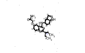 C=C/C(=C\C)c1nc(Nc2ccc3[nH]ncc3c2)c2cc(OCC(N)=O)ccc2n1